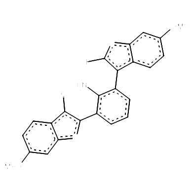 COc1ccc2c(Cl)c(-c3cccc(-c4c(Cl)sc5cc(OC)ccc45)c3N)oc2c1